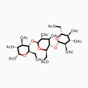 CC(=O)OC[C@H]1O[C@@H](O[C@H]2[C@H](OC(C)=O)[C@@H](OC(C)=O)[C@H](O[C@H]3[C@H](OC(C)=O)[C@@H](OC(C)=O)[C@@H](OC(C)=O)O[C@@H]3COC(C)=O)O[C@@H]2COC(C)=O)[C@H](OC(C)=O)[C@@H](OC(C)=O)[C@@H]1OC(C)=O